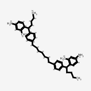 CCCCC(c1ccc(CCCCCCCc2ccc(C(CCCC)c3ccc(N)cc3C)cc2)cc1)c1ccc(N)cc1C